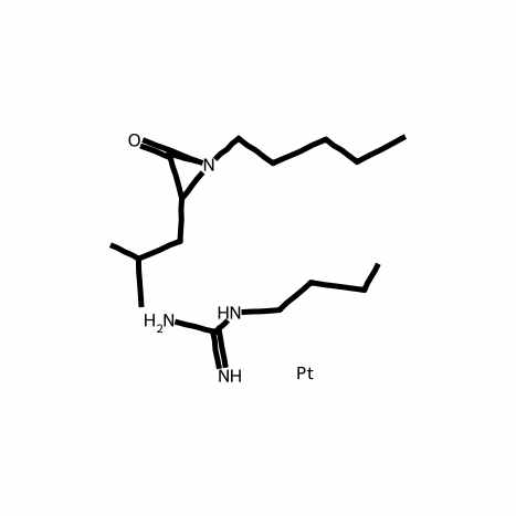 CCCCCN1C(=O)C1CC(C)C.CCCCNC(=N)N.[Pt]